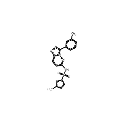 Cc1cccc(-c2nnc3ccc(NS(=O)(=O)c4ccc(C)s4)nn23)c1